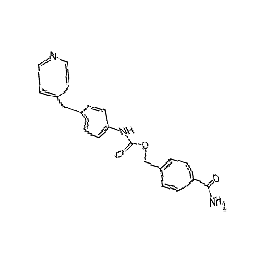 NC(=O)c1ccc(COC(=O)Nc2ccc(Cc3ccncc3)cc2)cc1